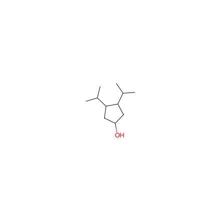 CC(C)C1CC(O)CC1C(C)C